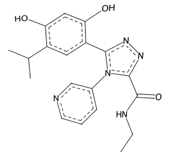 CCNC(=O)c1nnc(-c2cc(C(C)C)c(O)cc2O)n1-c1cccnc1